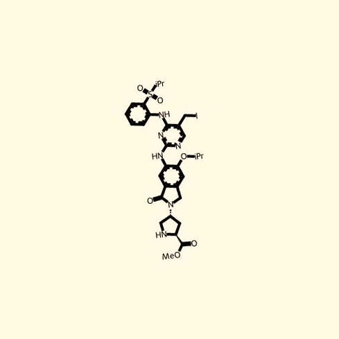 COC(=O)[C@@H]1C[C@@H](N2Cc3cc(OC(C)C)c(Nc4ncc(CI)c(Nc5ccccc5S(=O)(=O)C(C)C)n4)cc3C2=O)CN1